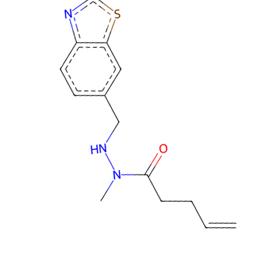 C=CCCC(=O)N(C)NCc1ccc2ncsc2c1